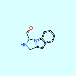 O=CC1NCc2cc3ccccc3n21